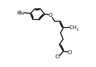 CCC(C)c1ccc(OCC=C(C)CCC=C(Cl)Cl)cc1